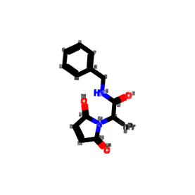 CCCC(C(=O)N[CH]c1ccccc1)N1C(=O)C=CC1=O